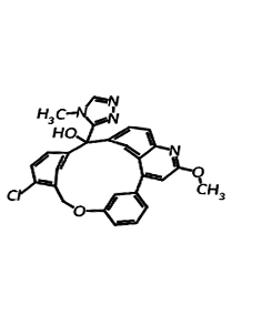 COc1cc2c3cc(ccc3n1)C(O)(c1nncn1C)c1ccc(Cl)c(c1)COc1cccc-2c1